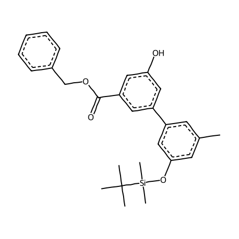 Cc1cc(O[Si](C)(C)C(C)(C)C)cc(-c2cc(O)cc(C(=O)OCc3ccccc3)c2)c1